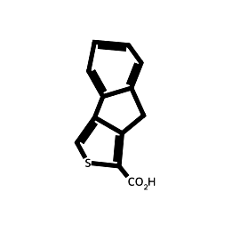 O=C(O)c1scc2c1Cc1ccccc1-2